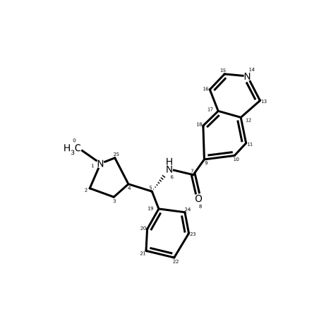 CN1CCC([C@H](NC(=O)c2ccc3cnccc3c2)c2ccccc2)C1